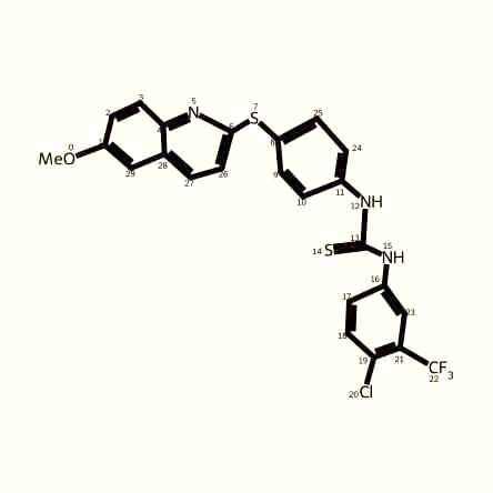 COc1ccc2nc(Sc3ccc(NC(=S)Nc4ccc(Cl)c(C(F)(F)F)c4)cc3)ccc2c1